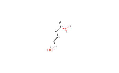 COC(C)C/C=C/CO